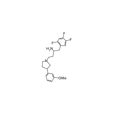 COc1cccc(C2CCN(CCC(N)Cc3cc(F)c(F)cc3F)C2)c1